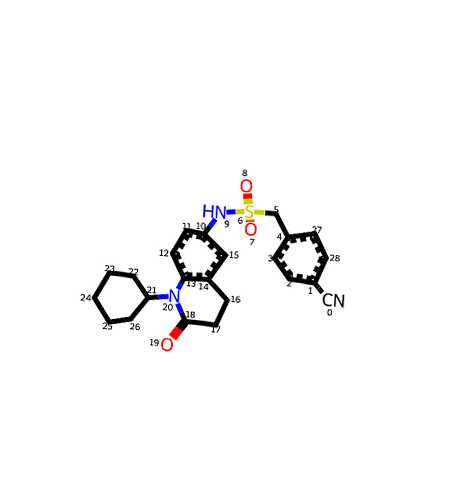 N#Cc1ccc(CS(=O)(=O)Nc2ccc3c(c2)CCC(=O)N3C2CCCCC2)cc1